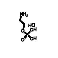 Cl.NCCOP(=O)(O)O